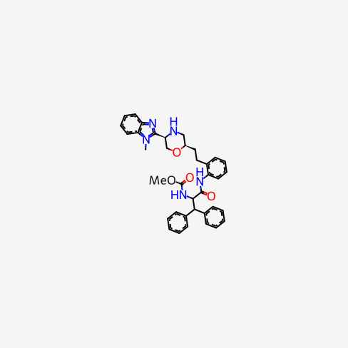 COC(=O)NC(C(=O)Nc1ccccc1CC[C@@H]1CN[C@H](c2nc3ccccc3n2C)CO1)C(c1ccccc1)c1ccccc1